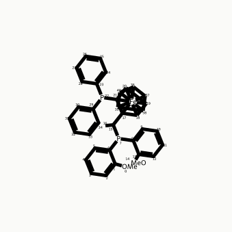 COc1ccccc1P(c1ccccc1OC)C(C)[C]12[CH]3[CH]4[CH]5[C]1(P(c1ccccc1)c1ccccc1)[Fe]43521678[CH]2[CH]1[CH]6[CH]7[CH]28